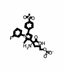 Cc1c([C@](N)(CCCO[N+](=O)[O-])C(=O)O)cc(-c2ccc(S(C)(=O)=O)cc2)n1-c1cccc(F)c1